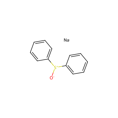 [Na].[O-][S+](c1ccccc1)c1ccccc1